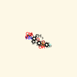 Cc1cc(NC(=O)C(=O)O)c2c(c1Oc1ccc(O)c(S(=O)(=O)c3ccc(F)cc3)c1)CCC2